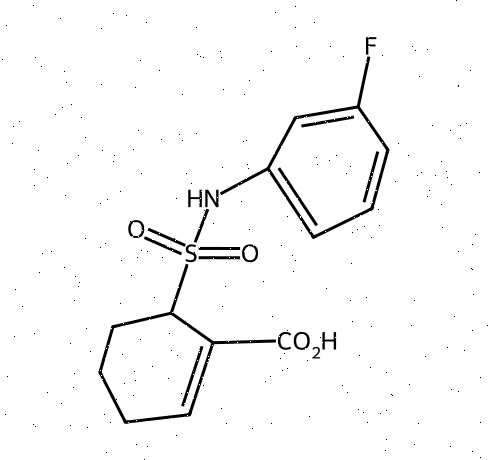 O=C(O)C1=CCCCC1S(=O)(=O)Nc1cccc(F)c1